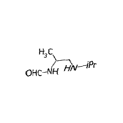 CC(C)NCC(C)NC=O